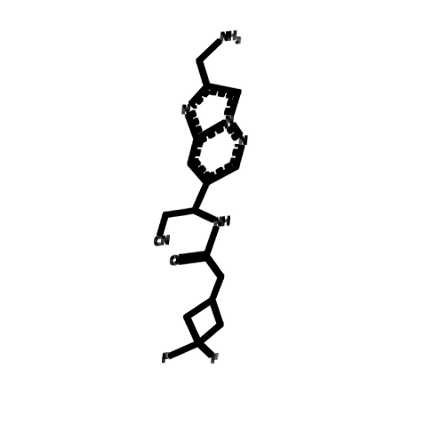 N#CCC(NC(=O)CC1CC(F)(F)C1)c1cnn2cc(CN)nc2c1